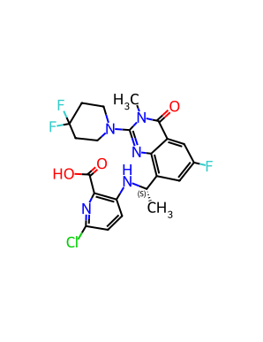 C[C@H](Nc1ccc(Cl)nc1C(=O)O)c1cc(F)cc2c(=O)n(C)c(N3CCC(F)(F)CC3)nc12